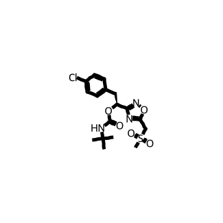 CC(C)(C)NC(=O)O[C@@H](Cc1ccc(Cl)cc1)c1noc(CS(C)(=O)=O)n1